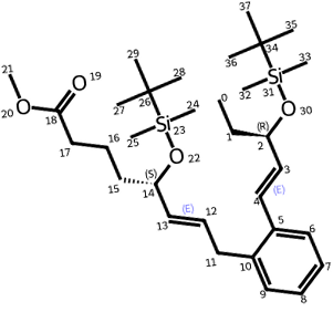 CC[C@H](/C=C/c1ccccc1C/C=C/[C@H](CCCC(=O)OC)O[Si](C)(C)C(C)(C)C)O[Si](C)(C)C(C)(C)C